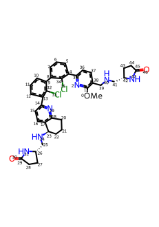 COc1nc(-c2cccc(-c3cccc(-c4ccc5c(n4)CCC[C@H]5NC[C@@H]4CCC(=O)N4)c3Cl)c2Cl)ccc1CNC[C@@H]1CCC(=O)N1